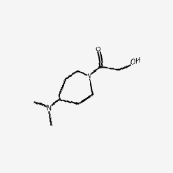 CN(C)C1CCN(C(=O)CO)CC1